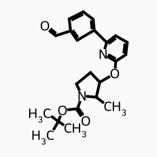 CC1C(Oc2cccc(-c3cccc(C=O)c3)n2)CCN1C(=O)OC(C)(C)C